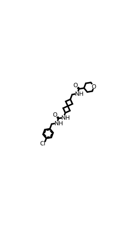 O=C(NCc1ccc(Cl)cc1)NC1CC2(CC(CNC(=O)C3CCOCC3)C2)C1